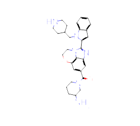 NC1CCCN(C(=O)c2cc3c4c(c2)nc(-c2cc5ccccc5n2CC2CCNCC2)n4CCO3)C1